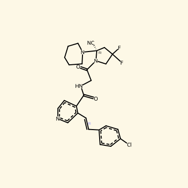 N#C[C@]1(N2CCCCC2)CC(F)(F)CN1C(=O)CNC(=O)c1ccncc1/C=C/c1ccc(Cl)cc1